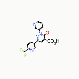 O=C(O)c1cc(-c2ccc(C(F)F)nc2)nn(-c2cccnc2)c1=O